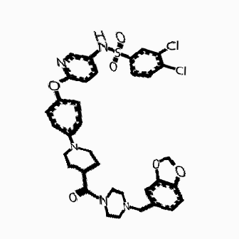 O=C(C1CCN(c2ccc(Oc3ccc(NS(=O)(=O)c4ccc(Cl)c(Cl)c4)cn3)cc2)CC1)N1CCN(Cc2ccc3c(c2)OCO3)CC1